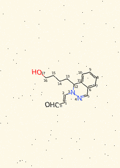 O=C/C=C/N1N=Cc2ccccc2C1CCCCO